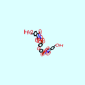 O=C1c2ccc(CO)cc2C(=O)N1OS(=O)(=O)c1ccc(Oc2ccc(S(=O)(=O)ON3C(=O)c4ccc(CO)cc4C3=O)cc2)cc1